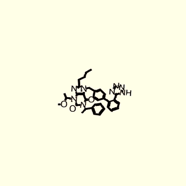 CCCCc1nc2c(c(=O)n(C(C)c3ccccc3)c(=O)n2C(C)OC)n1Cc1ccc(-c2ccccc2-c2nnn[nH]2)cc1